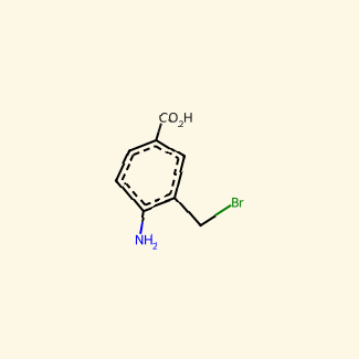 Nc1ccc(C(=O)O)cc1CBr